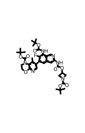 Cc1c(-c2cc3cc(NC(=O)OC4CN(C(=O)OC(C)(C)C)C4)ncc3c(NC(=O)OC(C)(C)C)c2F)cnc2c1N(C(=O)OC(C)(C)C)CCO2